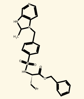 CC(C)C[C@H](NS(=O)(=O)c1ccc(CN2c3ccncc3NC2C)cc1)C(=O)OCc1ccccc1